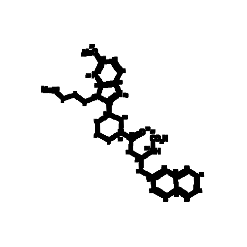 COCCCn1c(C2CCCN(C(=O)CC(Cc3ccc4ccccc4c3)NC(=O)O)C2)nc2ccc(OC)nc21